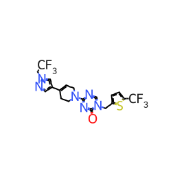 O=c1nc(N2CC=C(c3cnn(CC(F)(F)F)c3)CC2)ncn1Cc1ccc(C(F)(F)F)s1